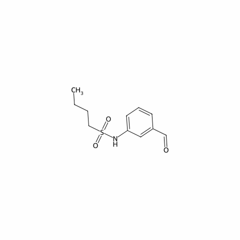 CCCCS(=O)(=O)Nc1cccc(C=O)c1